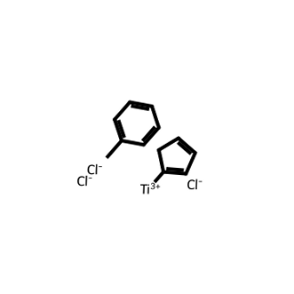 Cc1ccccc1.[Cl-].[Cl-].[Cl-].[Ti+3][C]1=CC=CC1